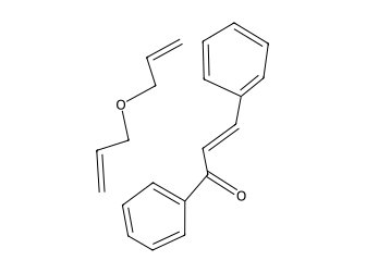 C=CCOCC=C.O=C(C=Cc1ccccc1)c1ccccc1